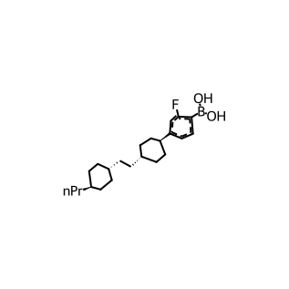 CCC[C@H]1CC[C@H](CC[C@H]2CC[C@H](c3ccc(B(O)O)c(F)c3)CC2)CC1